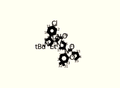 CC[N+]1(C(=O)[C@@H]2CN(C(C)(C)C)C[C@H]2c2ccc(Cl)cc2)C[C@@H](N(C(=O)[C@@H]2CCCO2)C2CCC(C)(C)CC2)C[C@H]1C(N)=O